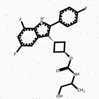 CC(CO)NC(=O)O[C@H]1C[C@H](c2c(-c3ccc(F)cc3)[nH]c3c(F)cc(F)cc32)C1